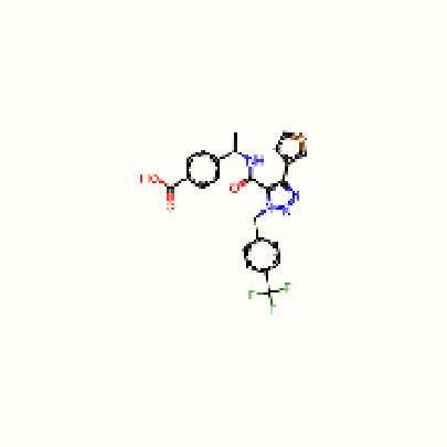 CC(NC(=O)c1c(-c2ccsc2)nnn1Cc1ccc(C(F)(F)F)cc1)c1ccc(C(=O)O)cc1